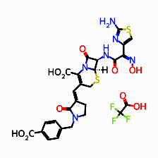 Nc1nc(/C(=N/O)C(=O)N[C@@H]2C(=O)N3C(C(=O)O)=C(/C=C4\CCN(Cc5ccc(C(=O)O)cc5)C4=O)CS[C@H]23)cs1.O=C(O)C(F)(F)F